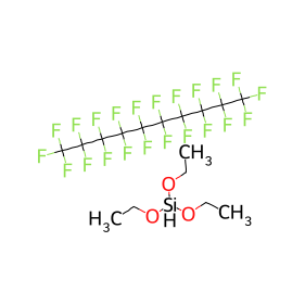 CCO[SiH](OCC)OCC.FC(F)(F)C(F)(F)C(F)(F)C(F)(F)C(F)(F)C(F)(F)C(F)(F)C(F)(F)C(F)(F)C(F)(F)F